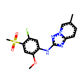 COc1cc(S(C)(=O)=O)c(F)cc1Nc1nc2ccc(C)cn2n1